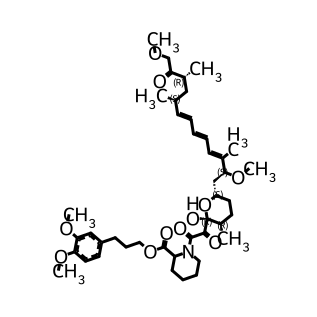 COCC(=O)[C@H](C)C[C@H](C)C=CC=CC=C(C)[C@H](C[C@@H]1CC[C@@H](C)[C@](O)(C(=O)C(=O)N2CCCCC2C(=O)OCCCc2ccc(OC)c(OC)c2)O1)OC